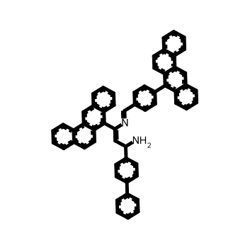 NC(/C=C(\N=C\c1ccc(-c2c3ccccc3cc3c2ccc2ccccc23)cc1)c1c2ccccc2cc2c1ccc1ccccc12)c1ccc(-c2ccccc2)cc1